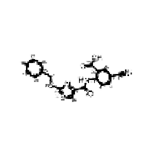 N#Cc1ccc(NC(=O)c2csc(SCc3ccccc3)n2)c(C(=O)O)c1